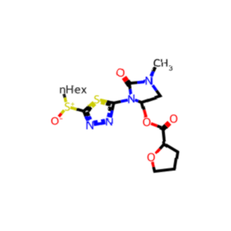 CCCCCC[S+]([O-])c1nnc(N2C(=O)N(C)CC2OC(=O)C2CCCO2)s1